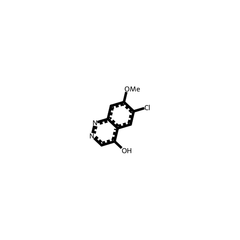 COc1cc2nncc(O)c2cc1Cl